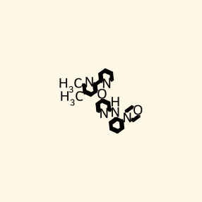 Cc1cc(Oc2ccnc(Nc3ccccc3N3CCOCC3)c2)c(-c2ccccn2)nc1C